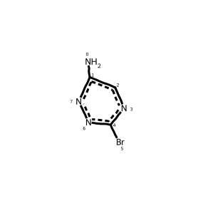 Nc1cnc(Br)nn1